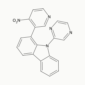 O=[N+]([O-])c1ccncc1-c1cccc2c3ccccc3n(-c3cnccn3)c12